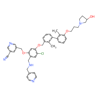 Cc1c(COc2cc(OCc3cncc(C#N)c3)c(CNCc3ccncc3)cc2Cl)cccc1-c1cccc(OCCCN2CCC(O)C2)c1C